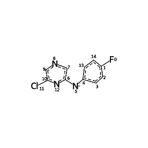 Fc1ccc([N]c2cncc(Cl)n2)cc1